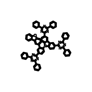 c1ccc(-c2nc(-c3ccccc3)nc(-c3ccc(-n4c5ccc(-c6nc(-c7ccccc7)nc(-c7ccccc7)n6)cc5c5cc(-c6nc(-c7ccccc7)nc(-c7ccccc7)n6)ccc54)c(-c4ccc5oc6ccccc6c5c4)c3)n2)cc1